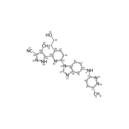 Cc1ccc(Nc2ccc3c(c2)ncn3-c2ccc(CCO)c(-c3[nH]nc(C#N)c3C)n2)nn1